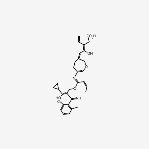 C=C/C(CC(=O)O)=C(O)\C=C1\CCC(/N=C(\C=C/C)OC/C(C(=N)c2c(C)cccc2Cl)=C(/O)C2CC2)=COC1